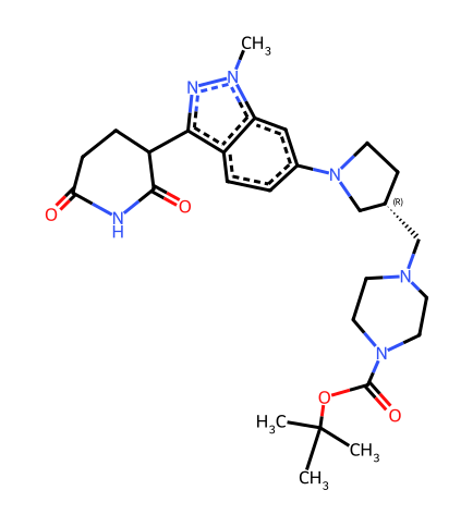 Cn1nc(C2CCC(=O)NC2=O)c2ccc(N3CC[C@H](CN4CCN(C(=O)OC(C)(C)C)CC4)C3)cc21